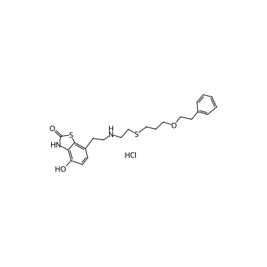 Cl.O=c1[nH]c2c(O)ccc(CCNCCSCCCOCCc3ccccc3)c2s1